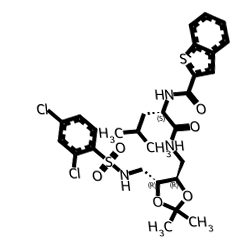 CC(C)C[C@H](NC(=O)c1cc2ccccc2s1)C(=O)NC[C@H]1OC(C)(C)O[C@@H]1CNS(=O)(=O)c1ccc(Cl)cc1Cl